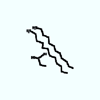 CCCCCCCCCCCN.CCCCCCCCCCCN.CCP(O)O